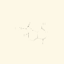 CC(=O)C1=CS[C@@H]2C(N)C(=O)N2C1C(=O)O